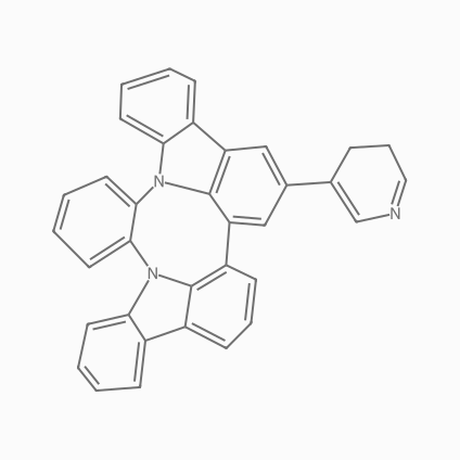 C1=NC=C(c2cc3c4ccccc4n4c5ccccc5n5c6ccccc6c6cccc(c(c2)c34)c65)CC1